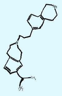 CC(C)c1ccc2c(c1)CN(CCc1ccc3c(c1)CCNC3)CC2